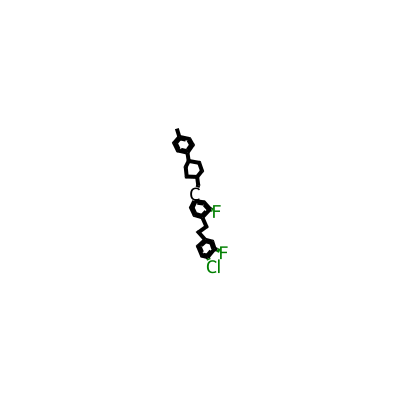 Cc1ccc(C2CCC(CCc3ccc(CCc4ccc(Cl)c(F)c4)c(F)c3)CC2)cc1